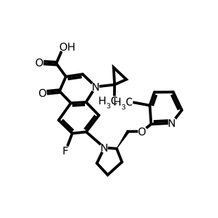 Cc1cccnc1OC[C@H]1CCCN1c1cc2c(cc1F)c(=O)c(C(=O)O)cn2C1(C)CC1